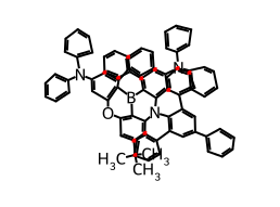 CC(C)(C)c1cc2c3c(c1)N(c1c(-c4ccccc4)cc(-c4ccccc4)cc1-c1ccccc1)c1cc(N(c4ccccc4)c4ccccc4)cc(-c4ccccc4)c1B3c1c(cc(N(c3ccccc3)c3ccccc3)cc1-c1ccccc1)O2